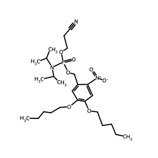 CCCCCOc1cc(COP(=O)(OCCC#N)N(C(C)C)C(C)C)c([N+](=O)[O-])cc1OCCCCC